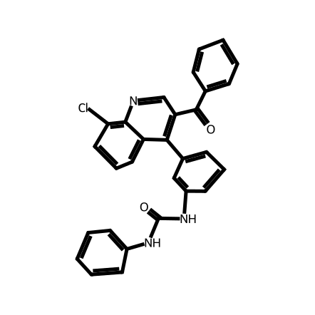 O=C(Nc1ccccc1)Nc1cccc(-c2c(C(=O)c3ccccc3)cnc3c(Cl)cccc23)c1